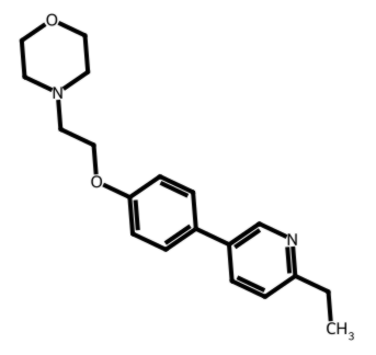 CCc1ccc(-c2ccc(OCCN3CCOCC3)cc2)cn1